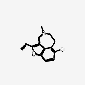 C=Cc1oc2ccc(Cl)c3c2c1CN(C)CC3